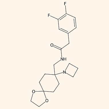 O=C(Cc1ccc(F)c(F)c1)NCC1(N2CCC2)CCC2(CC1)OCCO2